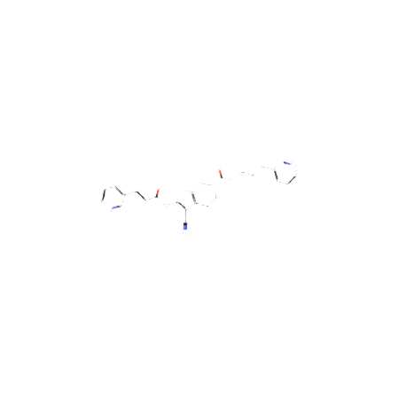 N#Cc1c(NC(=O)/C=C/c2cccnc2)sc2c1CCN(C(=O)OCCCc1cccnc1)C2